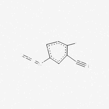 N#Cc1cc(N=C=S)ccc1Cl